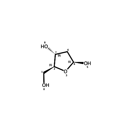 OC[C@@H]1O[C@H](O)C[C@H]1O